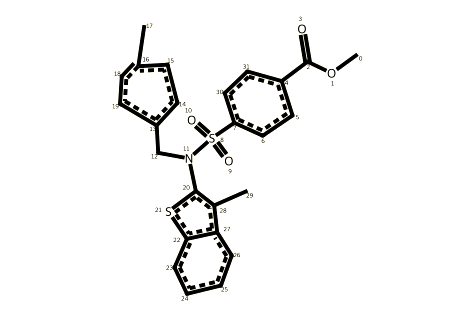 COC(=O)c1ccc(S(=O)(=O)N(Cc2ccc(C)cc2)c2sc3ccccc3c2C)cc1